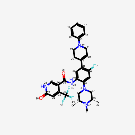 C[C@@H]1CN(c2cc(F)c(C3=CCN(c4ccccc4)CC3)cc2NC(=O)c2c[nH]c(=O)cc2C(F)(F)F)C[C@H](C)N1C